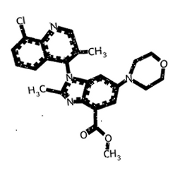 COC(=O)c1cc(N2CCOCC2)cc2c1nc(C)n2-c1c(C)cnc2c(Cl)cccc12